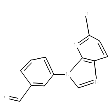 O=Cc1cccc(-n2cnc3ccc(Br)nc32)c1